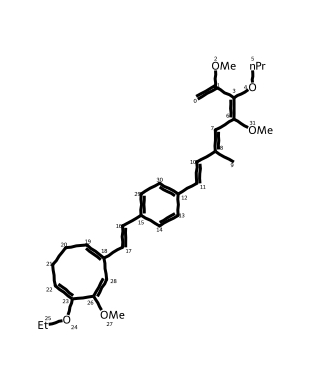 C=C(OC)\C(OCCC)=C(/C=C(C)/C=C/c1ccc(/C=C/C2=CCC/C=C(OCC)\C(OC)=C/2)cc1)OC